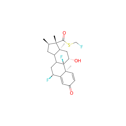 C[C@@H]1CC2C3C[C@H](F)C4=CC(=O)C=C[C@]4(C)[C@@]3(F)[C@@H](O)C[C@]2(C)[C@@]1(C)C(=O)SCF